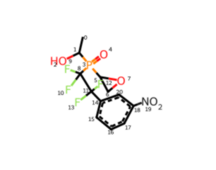 CC(O)P(=O)(C1CO1)C(F)(F)C(F)(F)c1cccc([N+](=O)[O-])c1